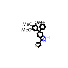 COc1cc(C2(c3ccccc3)C=Cc3c(-c4ccsc4)n[nH]c3C2)cc(OC)c1OC